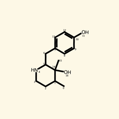 CC1CCNC(Cc2ccc(O)cc2)C1(C)O